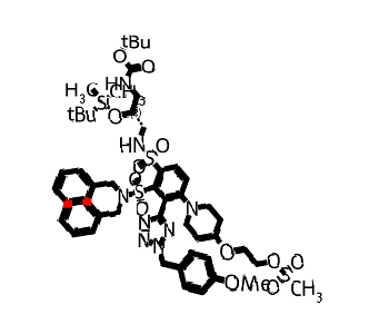 COc1ccc(Cn2nnc(-c3c(N4CCC(OCCOS(C)(=O)=O)CC4)ccc(S(=O)(=O)NC[C@@H](CNC(=O)OC(C)(C)C)O[Si](C)(C)C(C)(C)C)c3S(=O)(=O)N(Cc3ccccc3)Cc3ccccc3)n2)cc1